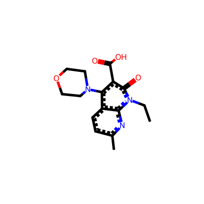 CCn1c(=O)c(C(=O)O)c(N2CCOCC2)c2ccc(C)nc21